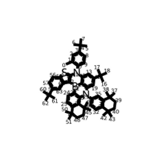 Cc1cc(C(C)(C)C)ccc1N1c2cc(C(C)(C)C)cc3c2B(c2ccc4c(c2N3c2ccc3c(c2)C(C)(C)CCC3(C)C)C(C)(C)CCC4(C)C)c2c1sc1ccc(C(C)(C)C)cc21